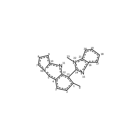 Cc1ccc2cn3cccc3nc2c1-c1nc2ccccc2n1C